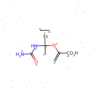 C=C(OC(C)(CC)NC(N)=O)C(=O)O.CC